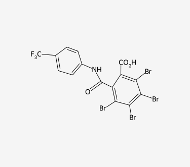 O=C(O)c1c(Br)c(Br)c(Br)c(Br)c1C(=O)Nc1ccc(C(F)(F)F)cc1